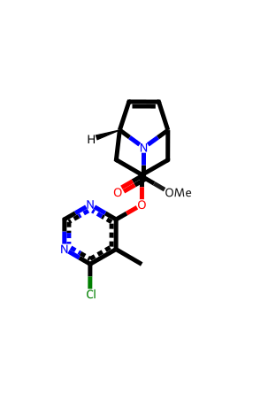 COC(=O)N1C2C=C[C@H]1CC(Oc1ncnc(Cl)c1C)C2